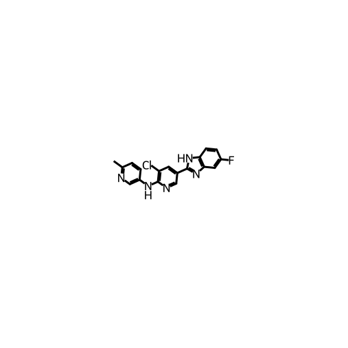 Cc1ccc(Nc2ncc(-c3nc4cc(F)ccc4[nH]3)cc2Cl)cn1